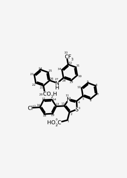 O=C(O)Cc1sc(-c2ccccc2)nc1-c1ccc(Cl)cc1.O=C(O)c1ccccc1Nc1cccc(C(F)(F)F)c1